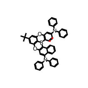 CC(C)(C)c1cc2c3c(c1)Oc1cc(N(c4ccccc4)c4ccccc4)c4ccccc4c1B3c1c(cc(N(c3ccccc3)c3ccccc3)c3ccccc13)O2